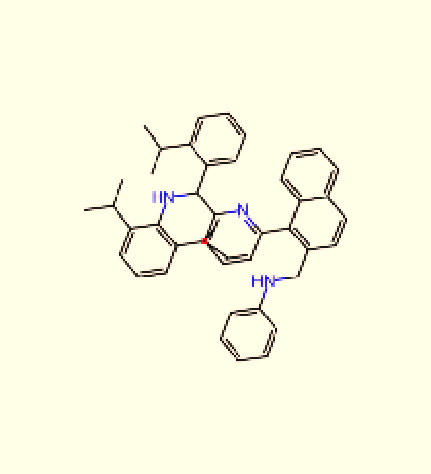 CC(C)c1ccccc1C(Nc1c(C(C)C)cccc1C(C)C)c1cccc(-c2c(CNc3ccccc3)ccc3ccccc23)n1